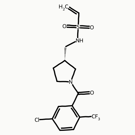 C=CS(=O)(=O)NC[C@H]1CCN(C(=O)c2cc(Cl)ccc2C(F)(F)F)C1